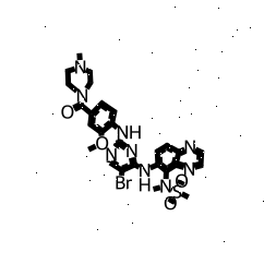 COc1cc(C(=O)N2CCN(C)CC2)ccc1Nc1ncc(Br)c(Nc2ccc3nccnc3c2N(C)S(C)(=O)=O)n1